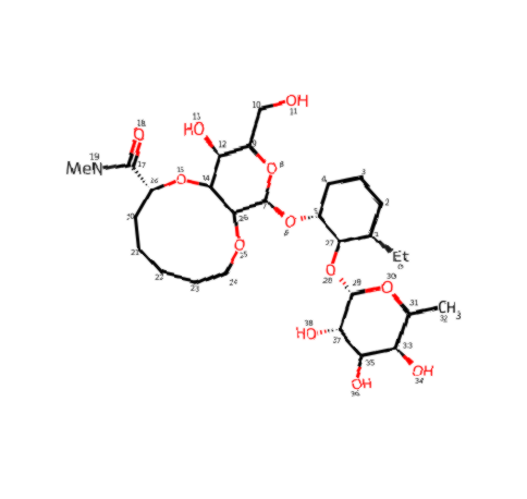 CC[C@@H]1CCC[C@@H](O[C@@H]2OC(CO)[C@H](O)C3O[C@@H](C(=O)NC)CCCCCOC32)C1O[C@@H]1OC(C)[C@@H](O)C(O)[C@@H]1O